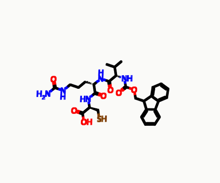 CC(C)[C@H](NC(=O)OCC1c2ccccc2-c2ccccc21)C(=O)N[C@@H](CCCNC(N)=O)C(=O)N[C@@H](CS)C(=O)O